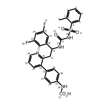 Cc1ccccc1S(=O)(=O)NC(=O)NC(Cc1ncccc1-c1ccc(NC(=O)O)cc1)c1cc(F)cc(F)c1